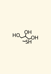 CS.OCC(O)CO